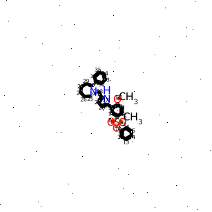 COc1cc(C)c(S(=O)(=O)Oc2ccccc2)cc1-c1ccc(CN2CCCCC[C@@H]2c2ccccc2)[nH]1